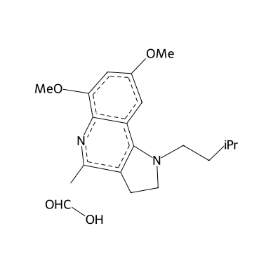 COc1cc(OC)c2nc(C)c3c(c2c1)N(CCC(C)C)CC3.O=CO